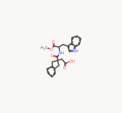 COC(=O)C(Cc1c[nH]c2ccccc12)NC(=O)C1(CC(=O)O)Cc2ccccc2C1